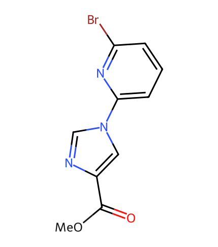 COC(=O)c1cn(-c2cccc(Br)n2)cn1